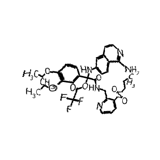 CCCS(=O)(=O)c1cccnc1CNC(=O)C(Nc1ccc2c(N)nccc2c1)(OC(=O)C(F)(F)F)c1ccc(OC(C)C)c(OCC)c1